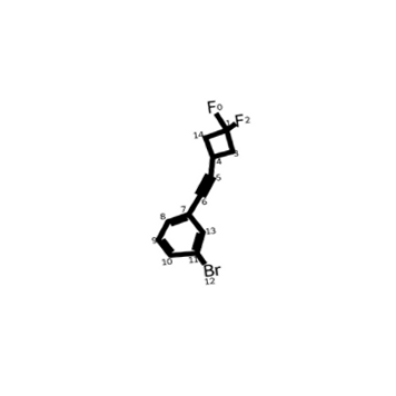 FC1(F)CC(C#Cc2cccc(Br)c2)C1